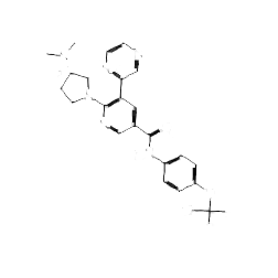 CN(C)[C@H]1CCN(c2ncc(C(=O)Nc3ccc(OC(F)(F)Cl)cc3)cc2-c2cnccn2)C1